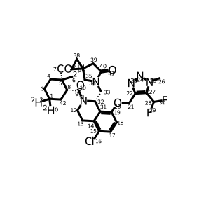 [2H]C1([2H])CC[C@](C)(C(=O)O)[C@H](C(=O)N2CCc3c(Cl)ccc(OCc4nnn(C)c4C(F)F)c3[C@H]2CN2CC3(CC3)CC2=O)C1